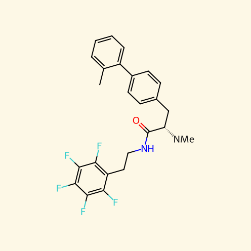 CN[C@@H](Cc1ccc(-c2ccccc2C)cc1)C(=O)NCCc1c(F)c(F)c(F)c(F)c1F